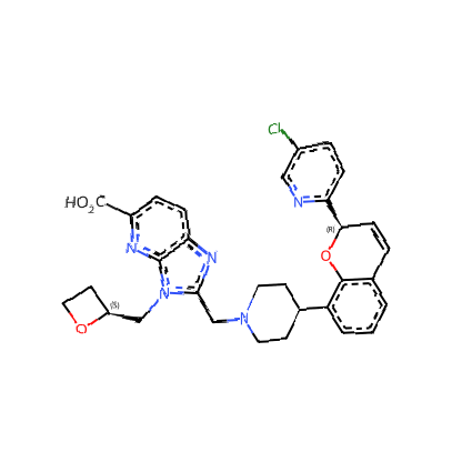 O=C(O)c1ccc2nc(CN3CCC(c4cccc5c4O[C@@H](c4ccc(Cl)cn4)C=C5)CC3)n(C[C@@H]3CCO3)c2n1